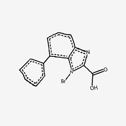 O=C(O)c1nc2cccc(-c3ccccc3)c2n1Br